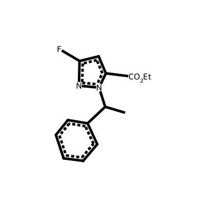 CCOC(=O)c1cc(F)nn1C(C)c1ccccc1